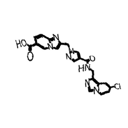 O=C(O)c1ccc2nc(Cn3cc(C(=O)NCc4ncn5ccc(Cl)cc45)cn3)cn2c1